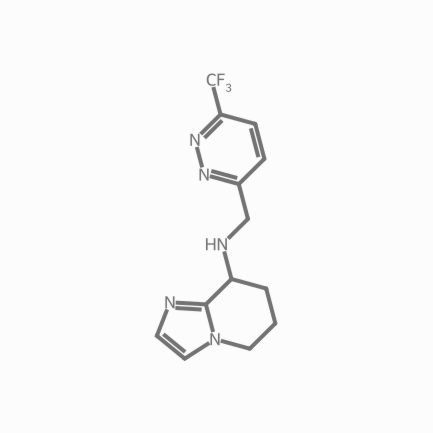 FC(F)(F)c1ccc(CNC2CCCn3ccnc32)nn1